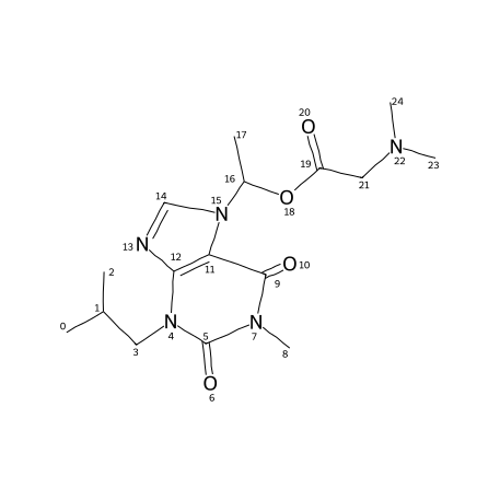 CC(C)Cn1c(=O)n(C)c(=O)c2c1ncn2C(C)OC(=O)CN(C)C